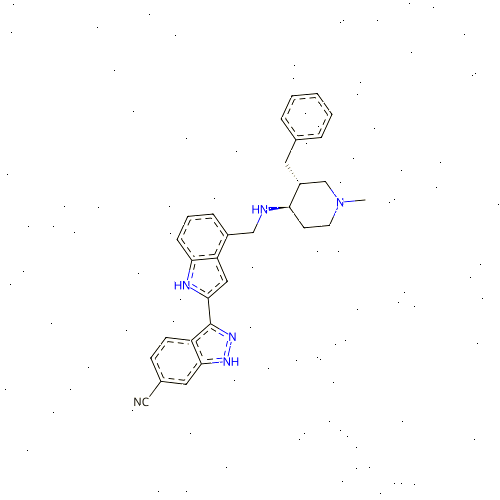 CN1CC[C@@H](NCc2cccc3[nH]c(-c4n[nH]c5cc(C#N)ccc45)cc23)[C@H](Cc2ccccc2)C1